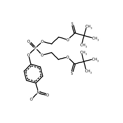 CC(C)(C)C(=S)OCCOP(=O)(OCCOC(=S)C(C)(C)C)Oc1ccc([N+](=O)[O-])cc1